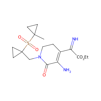 CCOC(=O)C(=N)C1=C(N)C(=O)N(CC2(S(=O)(=O)C3(C)CC3)CC2)CC1